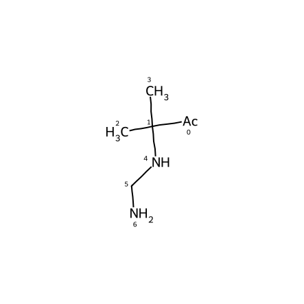 CC(=O)C(C)(C)NCN